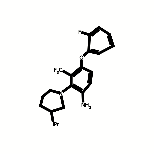 CC(C)C1CCCN(c2c(N)ccc(Oc3ccccc3F)c2C(F)(F)F)C1